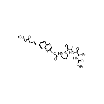 CC(C)C(NC(=O)OC(C)(C)C)C(=O)N[C@@H](C)C(=O)N1CCC[C@@H](C(=O)O[C@H](C)c2cnc3ccc(/C=C/CC(=O)OC(C)(C)C)cc3n2)N1